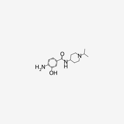 CC(C)N1CCC(NC(=O)c2ccc(N)c(O)c2)CC1